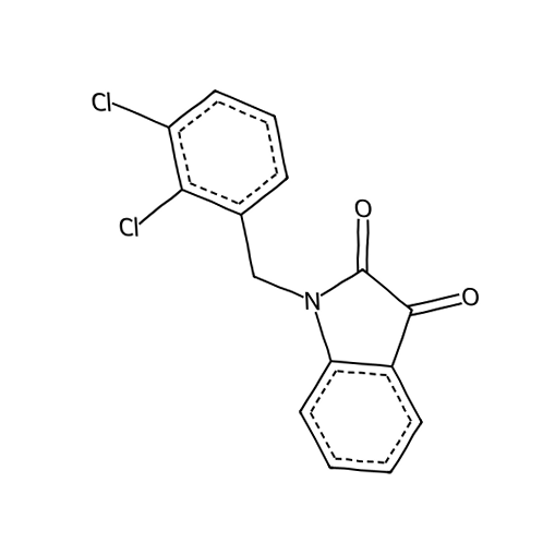 O=C1C(=O)N(Cc2cccc(Cl)c2Cl)c2ccccc21